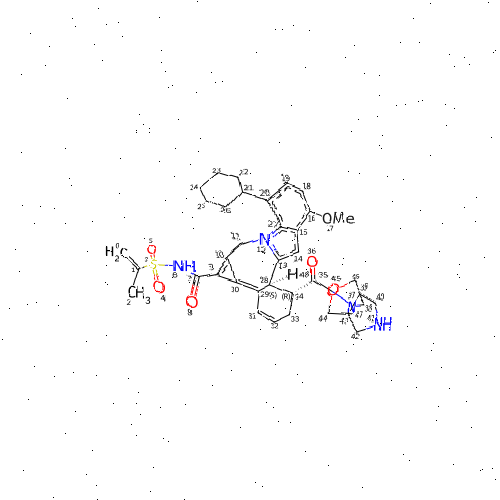 C=C(C)S(=O)(=O)NC(=O)C1=C2Cn3c(cc4c(OC)ccc(C5CCCCC5)c43)[C@@H]3C(=C21)C=CC[C@H]3C(=O)N1CC23CNCC2(COC3)C1